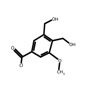 COc1cc(C(=O)Cl)cc(CO)c1CO